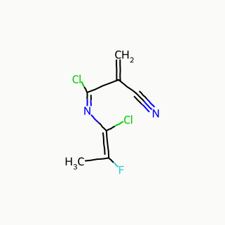 C=C(C#N)/C(Cl)=N\C(Cl)=C(/C)F